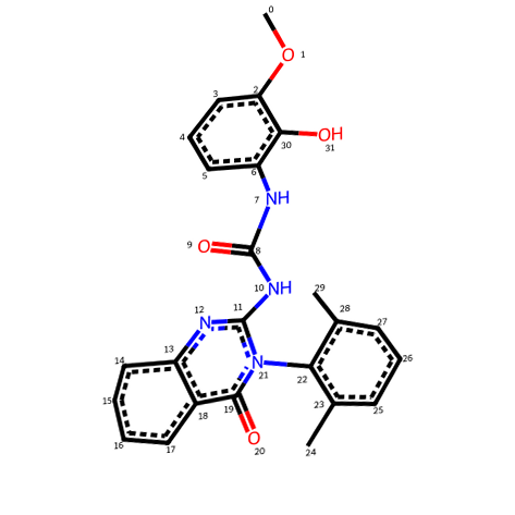 COc1cccc(NC(=O)Nc2nc3ccccc3c(=O)n2-c2c(C)cccc2C)c1O